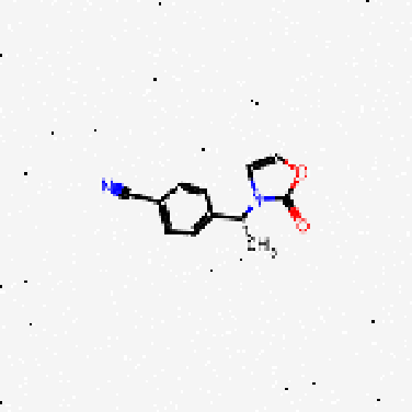 C[C@H](c1ccc(C#N)cc1)n1ccoc1=O